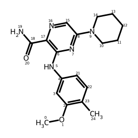 COc1cc(Nc2nc(N3CCCCC3)cnc2C(N)=O)ccc1C